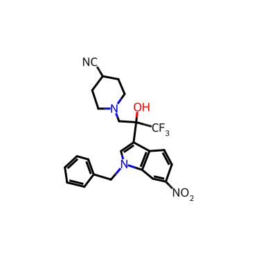 N#CC1CCN(CC(O)(c2cn(Cc3ccccc3)c3cc([N+](=O)[O-])ccc23)C(F)(F)F)CC1